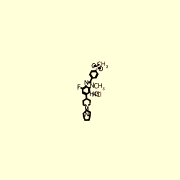 Cl.Cl.Cn1c(-c2ccc(S(C)(=O)=O)cc2)nc2c(F)cc(C3CCN(C4CC5CCC(C4)N5)CC3)cc21